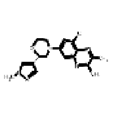 Cc1nc2cc(N3CCO[C@@H](c4cnn(C)c4)C3)cc(Cl)c2nc1C